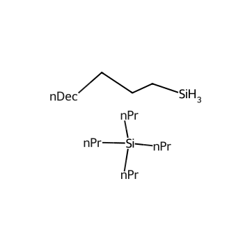 CCCCCCCCCCCCC[SiH3].CCC[Si](CCC)(CCC)CCC